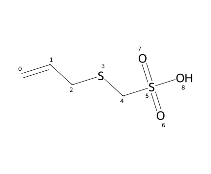 C=CCSCS(=O)(=O)O